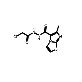 Cc1nc2sccn2c1C(=O)NNC(=O)CCl